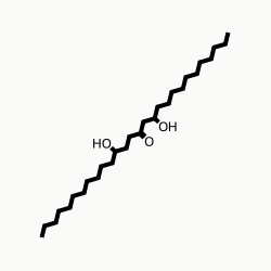 CCCCCCCCCCCC(O)CCC(=O)CC(O)CCCCCCCCCCC